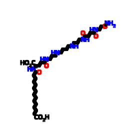 NOCCNC(=O)CCC(=O)NCCCNCCCCNCCCNC(=O)CC[C@H](NC(=O)CCCCCCCCCCCCCC(=O)O)C(=O)O